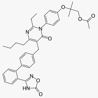 CCCCc1nc(CC)n(-c2ccc(OC(C)(C)COC(C)=O)cc2)c(=O)c1Cc1ccc(-c2ccccc2-c2noc(=O)[nH]2)cc1